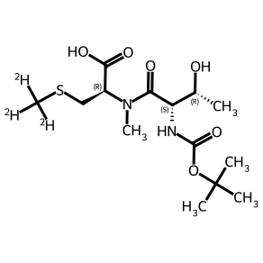 [2H]C([2H])([2H])SC[C@@H](C(=O)O)N(C)C(=O)[C@@H](NC(=O)OC(C)(C)C)[C@@H](C)O